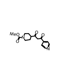 COC(=O)N1CCC(C(=O)CC(=O)c2ccncc2)CC1